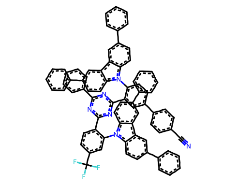 N#Cc1ccc(-c2ccc(-n3c4ccc(-c5ccccc5)cc4c4cc(-c5ccccc5)ccc43)c(-c3nc(-c4ccccc4)nc(-c4ccc(C(F)(F)F)cc4-n4c5ccc(-c6ccccc6)cc5c5cc(-c6ccccc6)ccc54)n3)c2)cc1